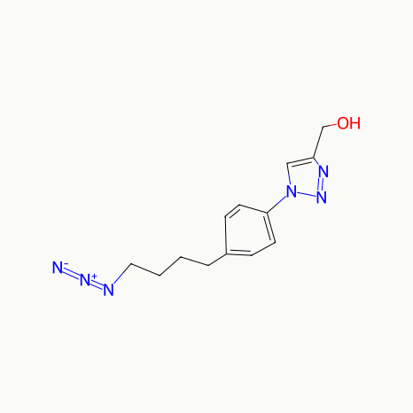 [N-]=[N+]=NCCCCc1ccc(-n2cc(CO)nn2)cc1